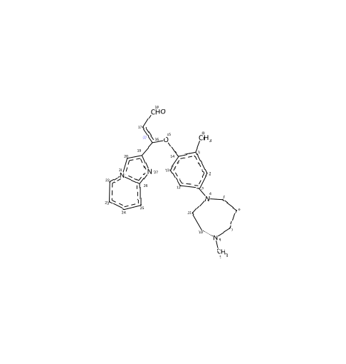 Cc1cc(N2CCCN(C)CC2)ccc1O/C(=C\C=O)c1cn2ccccc2n1